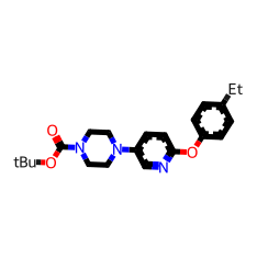 CCc1ccc(Oc2ccc(N3CCN(C(=O)OC(C)(C)C)CC3)cn2)cc1